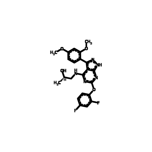 COc1ccc(-c2n[nH]c3nc(Oc4ccc(F)cc4F)nc(NC[C@H](C)O)c23)c(OC)c1